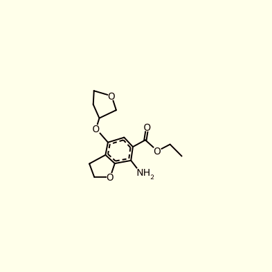 CCOC(=O)c1cc(OC2CCOC2)c2c(c1N)OCC2